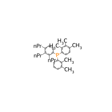 CCCc1ccc(P(c2cccc(C)c2C)c2ccc(C)c(C)c2C)c(CCC)c1CCC